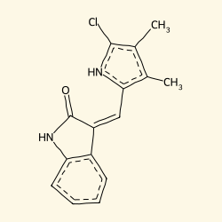 Cc1c(Cl)[nH]c(/C=C2\C(=O)Nc3ccccc32)c1C